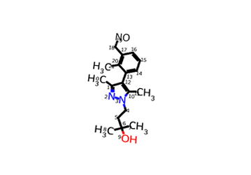 Cc1nn(CCC(C)(C)O)c(C)c1-c1cccc(CN=O)c1C